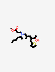 C=C(O)/C(=C/C(C)=C/N(CCC(=O)OC)C(=C)CCCC)Cc1cccs1